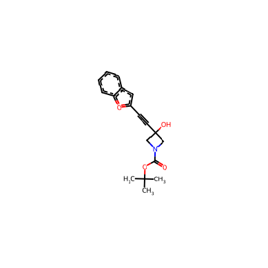 CC(C)(C)OC(=O)N1CC(O)(C#Cc2cc3ccccc3o2)C1